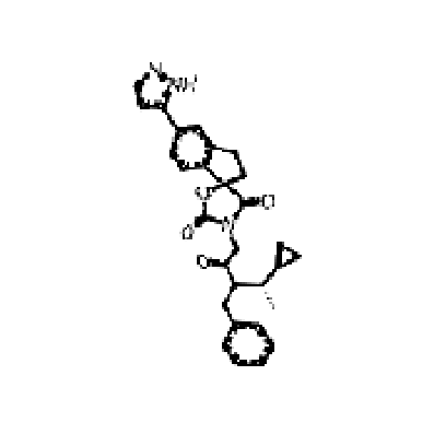 C[C@@H](C1CC1)C(Cc1ccccc1)C(=O)CN1C(=O)OC2(CCc3cc(-c4ccn[nH]4)ccc32)C1=O